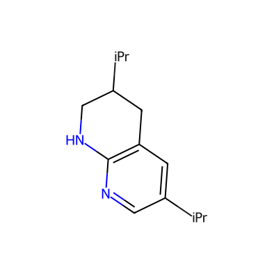 CC(C)c1cnc2c(c1)CC(C(C)C)CN2